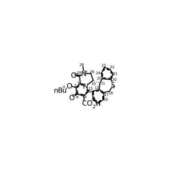 CCCCOc1c2n(cc(C(=O)O)c1=O)[C@@H](C1c3ccccc3CSc3ccccc31)CN(C)C2=O